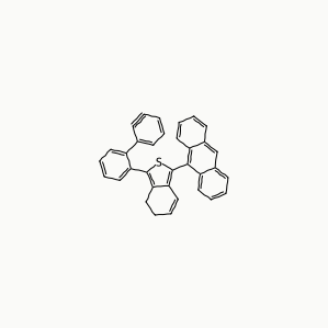 c1cccc(-c2ccccc2-c2sc(-c3c4ccccc4cc4ccccc34)c3c2CCC=C3)c#1